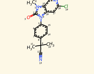 Cn1c(=O)n(-c2ccc(C(C)(C)C#N)cc2)c2cc(Cl)ncc21